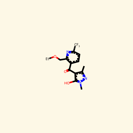 CCOCc1nc(C(F)(F)F)ccc1C(=O)c1c(C)nn(C)c1O